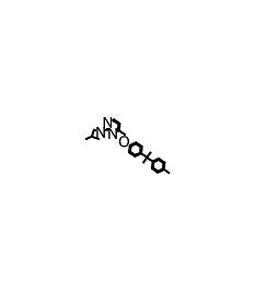 Cc1ccc(C(C)(C)c2ccc(OCc3ccnc(N4CC(C)C4)n3)cc2)cc1